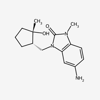 Cn1c(=O)n(C[C@@H]2CCC[C@]2(C)O)c2cc(N)ccc21